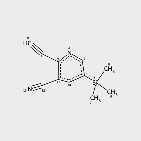 C#Cc1ncc([Si](C)(C)C)cc1C#N